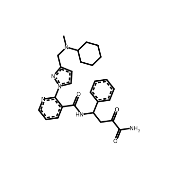 CN(Cc1ccn(-c2ncccc2C(=O)NC(CC(=O)C(N)=O)c2ccccc2)n1)C1CCCCC1